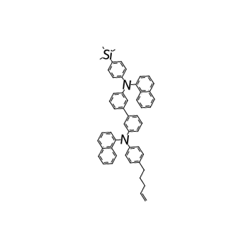 C=CCCCc1ccc(N(c2cccc(-c3cccc(N(c4ccc([Si](C)(C)C)cc4)c4cccc5ccccc45)c3)c2)c2cccc3ccccc23)cc1